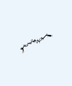 C#CCCOCCOCCOCCOCC(C)C